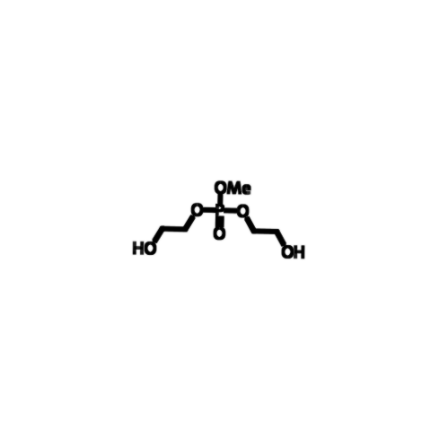 COP(=O)(OCCO)OCCO